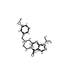 COc1cccc(CN2CCn3c(nc4c(cnn4C(C)C)c3=O)C2)c1